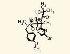 COc1ccc(CN(C)S(=O)(=O)C(C)(C)C(C)(N[S@+]([O-])C(C)(C)C)c2nc(Br)cs2)cc1